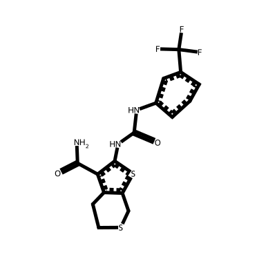 NC(=O)c1c(NC(=O)Nc2cccc(C(F)(F)F)c2)sc2c1CCSC2